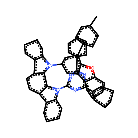 Cc1ccc(-c2cc(-n3c4ccccc4c4ccc5c6ccccc6n(-c6nc(-c7ccccc7)nc(-c7ccccc7)n6)c5c43)cc3c2oc2ccccc23)cc1